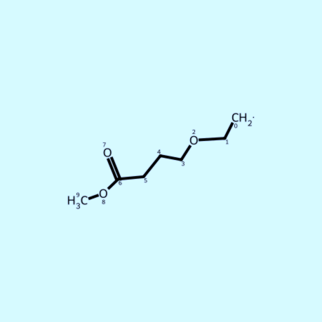 [CH2]COCCCC(=O)OC